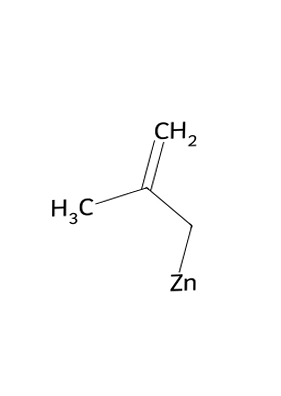 C=C(C)[CH2][Zn]